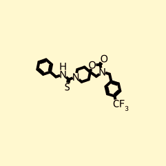 O=C1OC2(CCN(C(=S)NCc3ccccc3)CC2)CN1Cc1ccc(C(F)(F)F)cc1